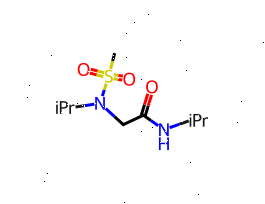 CC(C)NC(=O)CN(C(C)C)S(C)(=O)=O